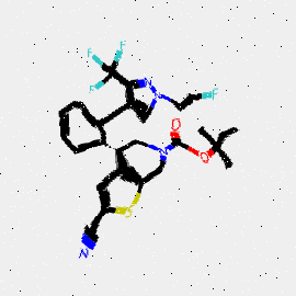 CC(C)(C)OC(=O)N1Cc2sc(C#N)cc2[C@H](c2ccccc2-c2cn(CCF)nc2C(F)(F)F)C1